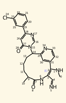 CN/C1=C(\C=N)NC(=O)C(C)CCCC(n2cnc(-c3cccc(Cl)c3)cc2=O)c2cc1ccn2